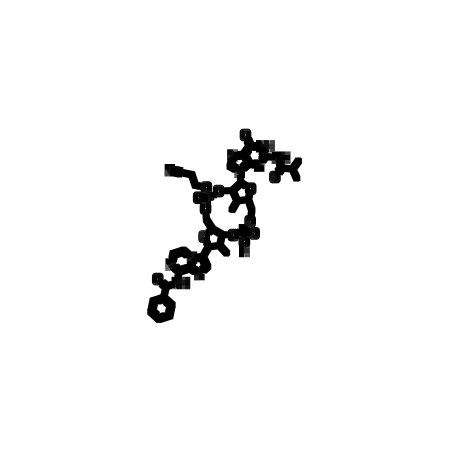 CC(C)C(=O)Nc1nc2c(ncn2C2OC3COP(=O)(O)OC4C(COP(=O)(OCCC#N)OC2C3C)OC(c2cnc3c(NC(=O)c5ccccc5)nccn23)C4C)c(=O)[nH]1